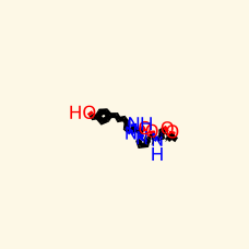 CC(=O)C[C@@H](C=O)NC(=O)[C@@H]1CCCN1C(=O)c1ncc(CCCc2ccc(CO)cc2)[nH]1